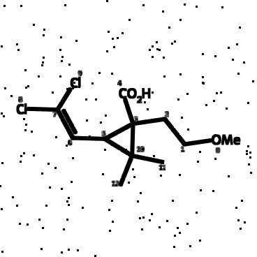 COCCC1(C(=O)O)C(C=C(Cl)Cl)C1(C)C